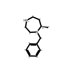 C[C@@H]1CCNCCN1Cc1ccccc1